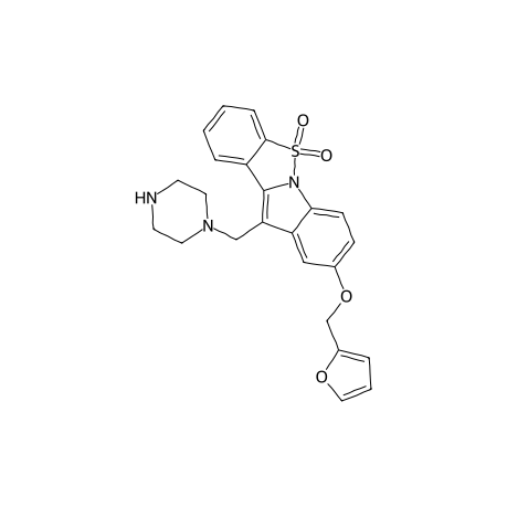 O=S1(=O)c2ccccc2-c2c(CN3CCNCC3)c3cc(OCc4ccco4)ccc3n21